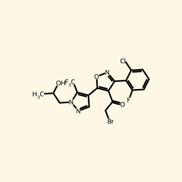 CC(O)Cn1ncc(-c2onc(-c3c(F)cccc3Cl)c2C(=O)CBr)c1C(F)(F)F